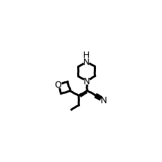 CCC(=C(C#N)N1CCNCC1)C1COC1